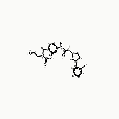 O=C(Nc1ccc2c(c1)NC(=O)N(CCO)C2)N[C@H]1CC[C@@H](c2ccccc2F)C1